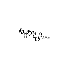 COC(=O)N1CCCC(Cn2ncc3cnc(Nc4cnn(C)c4)nc32)C1